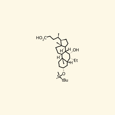 CC[C@H]1[C@@H](O)[C@@H]2[C@H](CC[C@]3(C)[C@@H]([C@H](C)CCC(=O)O)CC[C@@H]23)[C@@]2(C)CC[C@@H](O[Si](C)(C)C(C)(C)C)C[C@@H]12